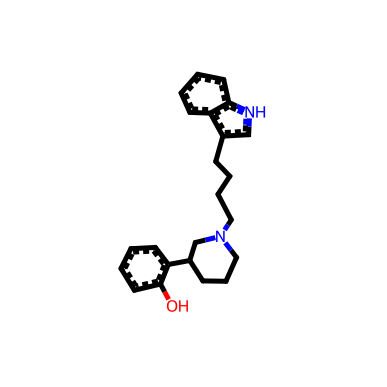 Oc1ccccc1C1CCCN(CCCCc2c[nH]c3ccccc23)C1